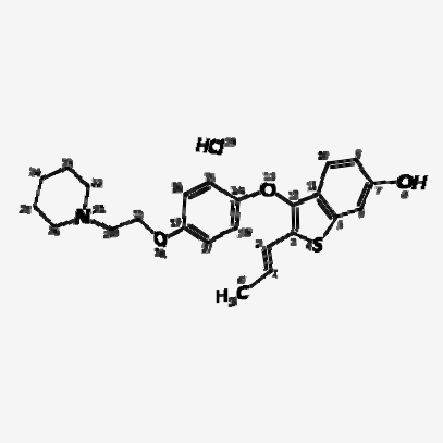 CC=Cc1sc2cc(O)ccc2c1Oc1ccc(OCCN2CCCCC2)cc1.Cl